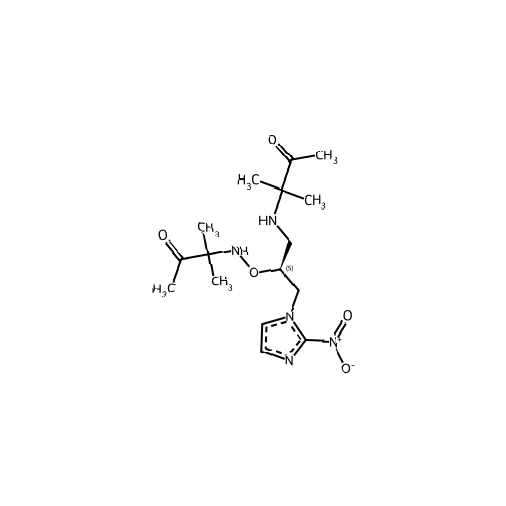 CC(=O)C(C)(C)NC[C@@H](Cn1ccnc1[N+](=O)[O-])ONC(C)(C)C(C)=O